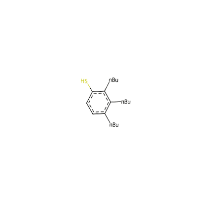 CCCCc1ccc(S)c(CCCC)c1CCCC